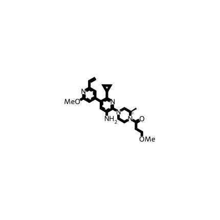 C=Cc1cc(-c2cc(N)c(N3CCN(C(=O)CCOC)[C@H](C)C3)nc2C2CC2)cc(OC)n1